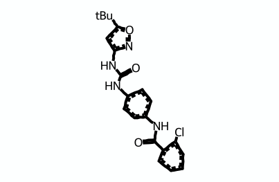 CC(C)(C)c1cc(NC(=O)Nc2ccc(NC(=O)c3ccccc3Cl)cc2)no1